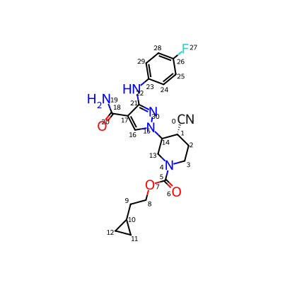 N#C[C@@H]1CCN(C(=O)OCCC2CC2)CC1n1cc(C(N)=O)c(Nc2ccc(F)cc2)n1